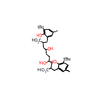 Cc1cc(CC(CC(O)CCC(O)CC(Cc2cc(C)cc(C(C)(C)C)c2O)C(=O)O)C(=O)O)c(O)c(C(C)(C)C)c1